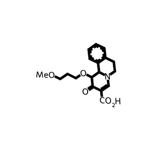 COCCCOC1C(=O)C(C(=O)O)=CN2CCc3ccccc3C12